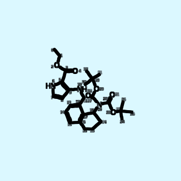 CCOC(=O)c1[nH]ccc1NCc1cccc2c1C(N(C(=O)OC(C)(C)C)C(=O)OC(C)(C)C)CCC2